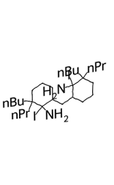 CCCCC1(CCC)CCCC(CC2CCCC(CCC)(CCCC)C2(N)I)C1(N)I